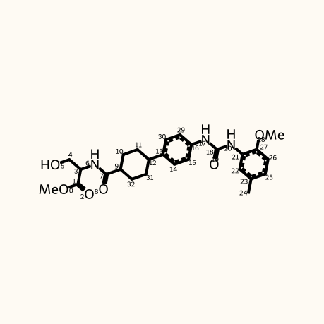 COC(=O)C(CO)NC(=O)C1CCC(c2ccc(NC(=O)Nc3cc(C)ccc3OC)cc2)CC1